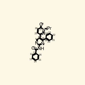 CC(C)n1nc(-c2cnc(NC(=O)c3ccccc3)nc2-c2ccccc2)ccc1=O